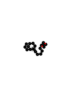 c1ccc(-c2cccc(-c3cccc(-c4ccc(-c5nc(-c6ccc(-c7cccc(-c8cccc(-c9cccc(-c%10cccc(-c%11ccc%12c(c%11)C%11(c%13ccccc%13-c%13ccccc%13%11)c%11ccccc%11-%12)c%10)c9)c8)c7)cc6)nc(-c6cccc(-c7cccc(-c8cccc(-c9ccccc9)c8)c7)c6)n5)cc4)c3)c2)cc1